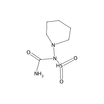 NC(=O)N(N1CCCCC1)[SH](=O)=O